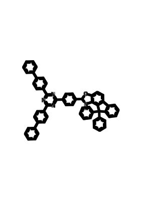 c1ccc(-c2ccc(-c3nc(-c4ccc(-c5ccccc5)cc4)nc(-c4ccc(C5Nc6c(ccc7c6C(c6ccccc6)(c6ccccc6)c6ccccc6-7)O5)cc4)n3)cc2)cc1